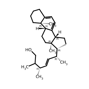 CC(CO)[C@@H](C)C=C[C@@H](C)[C@H]1CC[C@H]2C3=CC=C4CCCC[C@]4(C)[C@H]3CC[C@]12C